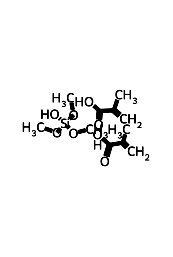 C=C(C)C(=O)O.C=C(C)C(=O)O.CO[Si](O)(OC)OC